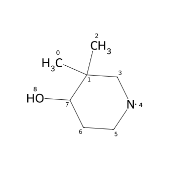 CC1(C)C[N]CCC1O